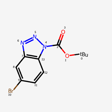 CC(C)(C)OC(=O)n1nnc2cc(Br)ccc21